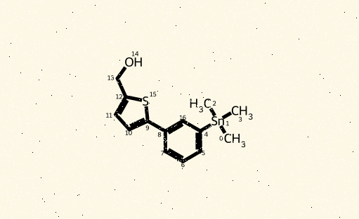 [CH3][Sn]([CH3])([CH3])[c]1cccc(-c2ccc(CO)s2)c1